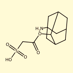 NC12CC3CC(C1)C(OC(=O)CS(=O)(=O)O)C(C3)C2